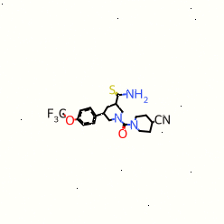 N#CC1CCN(C(=O)N2CC(C(N)=S)CC(c3ccc(OC(F)(F)F)cc3)C2)CC1